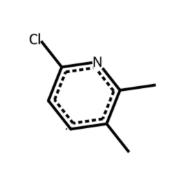 Cc1[c]cc(Cl)nc1C